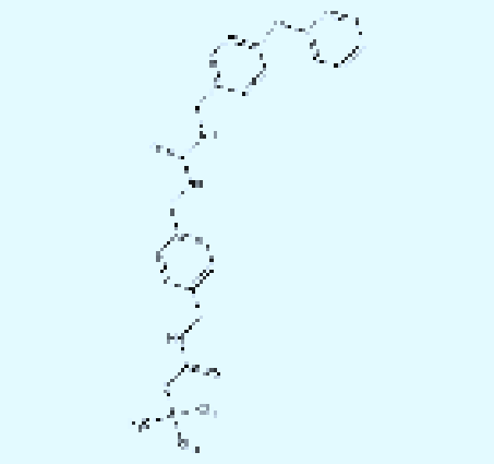 CC(C)(C)OC(=O)NCc1ccc(CNC(=O)NCc2ccc(Oc3ccccc3)cc2)cc1